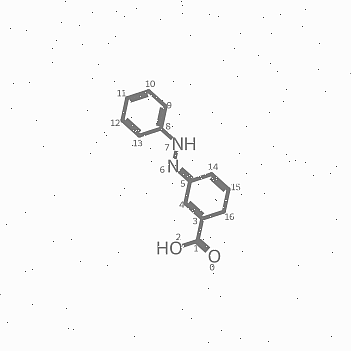 O=C(O)C1=CC(=NNc2ccccc2)C=CC1